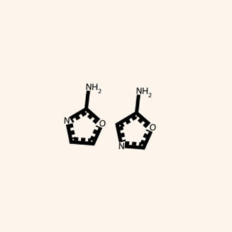 Nc1cnco1.Nc1ncco1